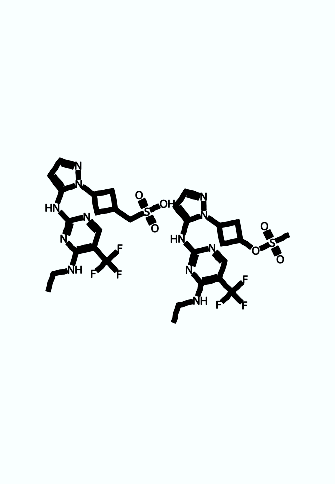 CCNc1nc(Nc2ccnn2C2CC(CS(=O)(=O)O)C2)ncc1C(F)(F)F.CCNc1nc(Nc2ccnn2C2CC(OS(C)(=O)=O)C2)ncc1C(F)(F)F